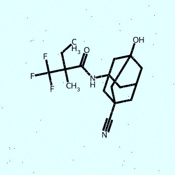 CCC(C)(C(=O)NC12CC3CC(O)(CC(C#N)(C3)C1)C2)C(F)(F)F